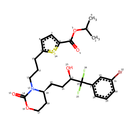 CC(C)OC(=O)c1ccc(CCCN2C(=O)OCC[C@@H]2CC[C@@H](O)C(F)(F)c2cccc(Br)c2)s1